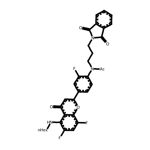 CCCCCCNc1c(F)cc(F)c2oc(-c3ccc(N(CCCN4C(=O)c5ccccc5C4=O)C(C)=O)c(F)c3)cc(=O)c12